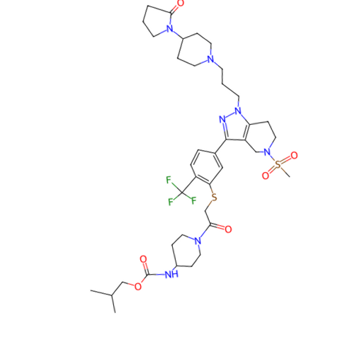 CC(C)COC(=O)NC1CCN(C(=O)CSc2cc(-c3nn(CCCN4CCC(N5CCCC5=O)CC4)c4c3CN(S(C)(=O)=O)CC4)ccc2C(F)(F)F)CC1